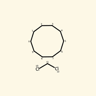 C1CCCCCCCCC1.ClCCl